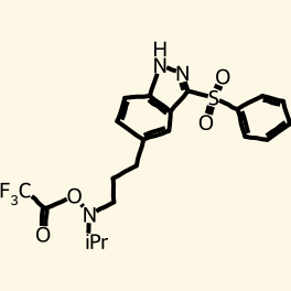 CC(C)N(CCCc1ccc2[nH]nc(S(=O)(=O)c3ccccc3)c2c1)OC(=O)C(F)(F)F